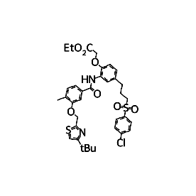 CCOC(=O)COc1ccc(CCCS(=O)(=O)c2ccc(Cl)cc2)cc1NC(=O)c1ccc(C)c(OCc2nc(C(C)(C)C)cs2)c1